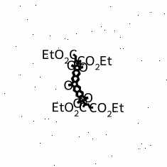 CCOC(=O)CCC(C(=O)OCC)n1c(=O)c2cc3cc4c(=O)c5cc6cc7c(=O)n(C(CCC(=O)OCC)C(=O)OCC)c(=O)c7cc6cc5c4cc3cc2c1=O